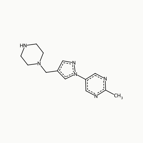 Cc1ncc(-n2cc(CN3CCNCC3)cn2)cn1